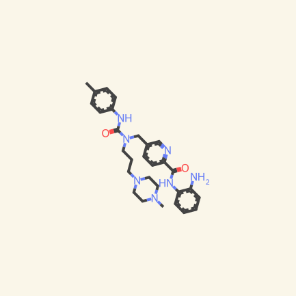 Cc1ccc(NC(=O)N(CCCN2CCN(C)CC2)Cc2ccc(C(=O)Nc3ccccc3N)nc2)cc1